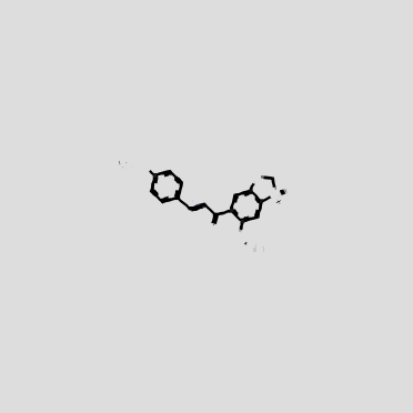 CCCOc1cc2c(cc1C(=O)/C=C/c1ccc(OC)cc1)OCS2(=O)=O